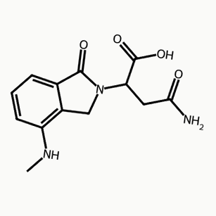 CNc1cccc2c1CN(C(CC(N)=O)C(=O)O)C2=O